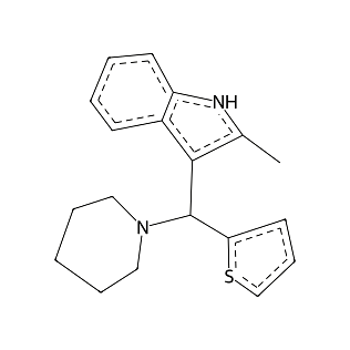 Cc1[nH]c2ccccc2c1C(c1cccs1)N1CCCCC1